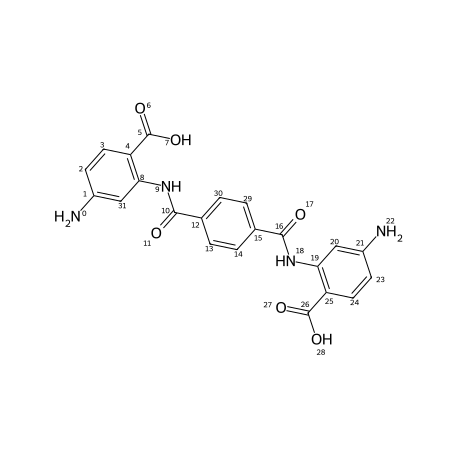 Nc1ccc(C(=O)O)c(NC(=O)c2ccc(C(=O)Nc3cc(N)ccc3C(=O)O)cc2)c1